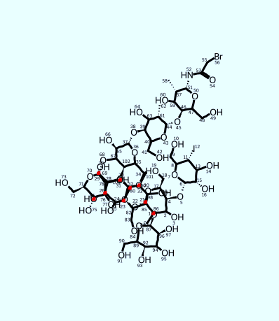 CC1C(O)[C@H](O[C@@H]2OC(CO)[C@H](I)C(O)[C@@H]2O)[C@H](CO)O[C@H]1O[C@@H]1C(O)[C@H](O)C(CO)O[C@@H]1OCC1O[C@@H](O[C@@H]2C(CO)O[C@@H](O[C@@H]3C(CO)O[C@@H](NC(=O)CBr)[C@@H](C)C3O)[C@@H](C)C2O)[C@H](O)C(O[C@H]2O[C@H](CO)[C@@H](O)C(O)C2O[C@@H]2OC(CO)[C@@H](O[C@@H]3OC(CO)[C@H](O)C(O)[C@@H]3O)C(O)[C@@H]2C)[C@@H]1O